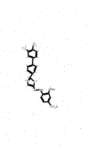 COc1cc(C(=O)O)ccc1NSc1cnc(-c2ccc(-c3ccc(C(F)(F)F)c(C(F)(F)F)c3)cc2)s1